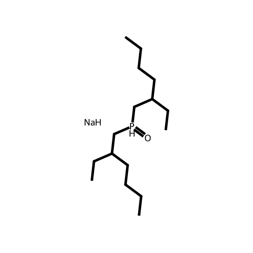 CCCCC(CC)C[PH](=O)CC(CC)CCCC.[NaH]